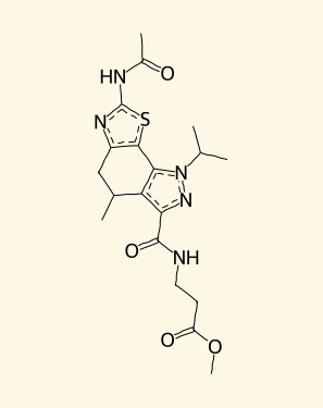 COC(=O)CCNC(=O)c1nn(C(C)C)c2c1C(C)Cc1nc(NC(C)=O)sc1-2